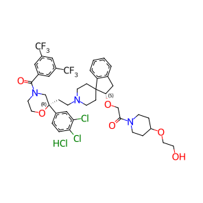 Cl.O=C(CO[C@H]1Cc2ccccc2C12CCN(CC[C@@]1(c3ccc(Cl)c(Cl)c3)CN(C(=O)c3cc(C(F)(F)F)cc(C(F)(F)F)c3)CCO1)CC2)N1CCC(OCCO)CC1